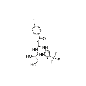 O=C(/N=C(/NCC(O)CO)Nc1cc(C(F)(F)F)n[nH]1)c1ccc(F)cc1